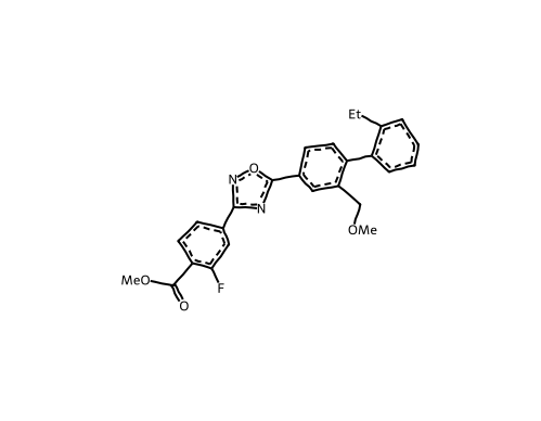 CCc1ccccc1-c1ccc(-c2nc(-c3ccc(C(=O)OC)c(F)c3)no2)cc1COC